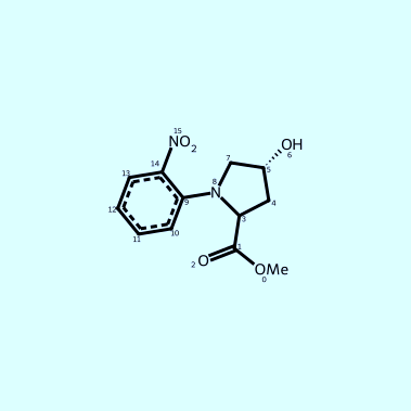 COC(=O)C1C[C@@H](O)CN1c1ccccc1[N+](=O)[O-]